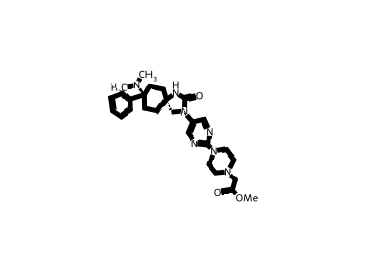 COC(=O)CN1CCN(c2ncc(N3C[C@]4(CC[C@](c5ccccc5)(N(C)C)CC4)NC3=O)cn2)CC1